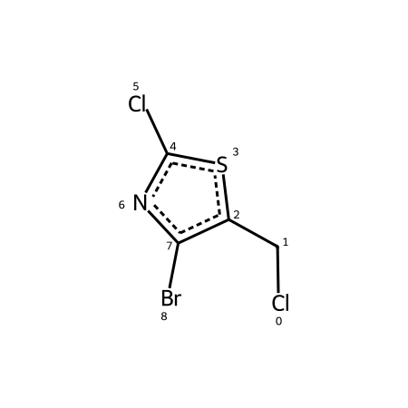 ClCc1sc(Cl)nc1Br